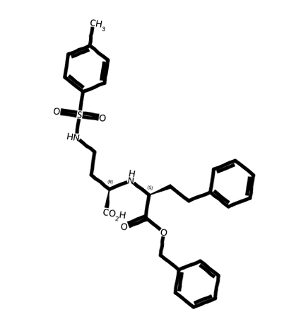 Cc1ccc(S(=O)(=O)NCC[C@@H](N[C@@H](CCc2ccccc2)C(=O)OCc2ccccc2)C(=O)O)cc1